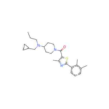 CCCN(CC1CC1)C1CCN(C(=O)c2sc(-c3cccc(C)c3C)nc2C)CC1